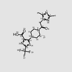 Cc1nc(C)n(CC(=O)N2CCN(c3sc(C(F)(F)F)nc3C(=O)O)C[C@H]2C)n1